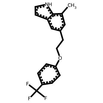 Cc1cc(CCOc2ccc(C(F)(F)F)cc2)cc2cc[nH]c12